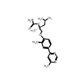 Cc1cc(-c2ccc(OC[C@](C)(CC(C)C)OC(N)=O)c(C)c2)ncn1